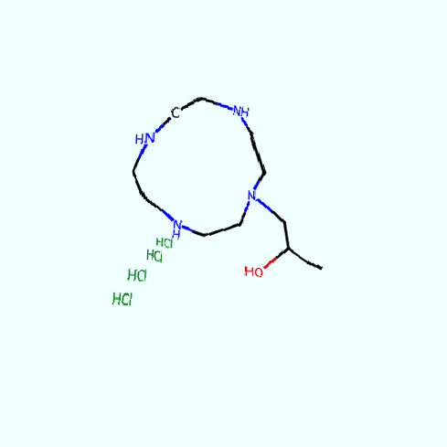 CC(O)CN1CCNCCNCCNCC1.Cl.Cl.Cl.Cl